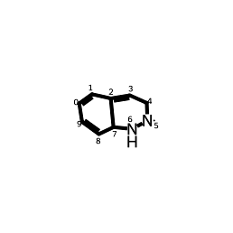 C1=CC2=CC[N]NC2C=C1